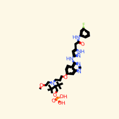 COCCN(CCCOc1ccc2c(Nc3cc(CC(=O)Nc4cccc(F)c4)[nH]n3)ncnc2c1)C(COP(=O)(O)O)(C(C)(C)C)C(C)(C)C